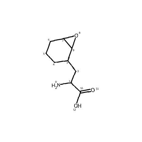 NC(CC1CCCC2OC12)C(=O)O